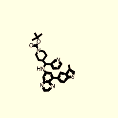 Cc1csc2ccc(-c3cc(NC(c4cccnc4)C4CCN(C(=O)OC(C)(C)C)CC4)cc4nccnc34)cc12